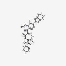 CC(C)/C=C(/NC(=O)c1cc2ccccc2o1)C(=O)N[C@H]1CC[C@@H](C)N(S(=O)(=O)c2ccccn2)CC1=O